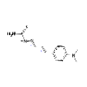 CN(C)c1ccc(/C=C/C=N/NC(N)=S)cc1